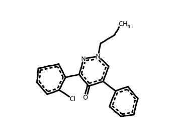 CCCn1cc(-c2ccccc2)c(=O)c(-c2ccccc2Cl)n1